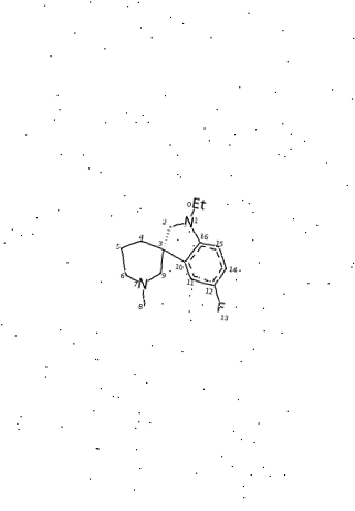 CCN1C[C@]2(CCCN(C)C2)c2cc(F)ccc21